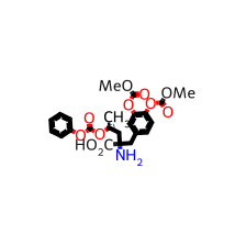 COC(=O)Oc1ccc(CC(N)(C[C@H](C)OC(=O)Oc2ccccc2)C(=O)O)cc1OC(=O)OC